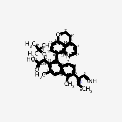 C/C=C(\C=N)c1ccc2c(-c3ccc4c5c(ccnc35)CCO4)c([C@H](OC(C)(C)C)C(=O)O)c(C)cc2c1C